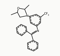 CC1CN(c2cc(N=C(c3ccccc3)c3ccccc3)cc(C(F)(F)F)c2)C(C)O1